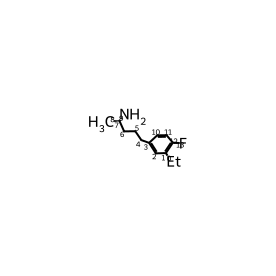 CCc1cc(CCC[C@@H](C)N)ccc1F